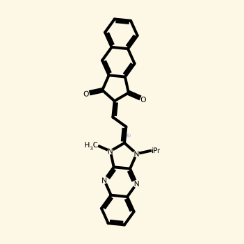 CC(C)N1/C(=C/C=C2C(=O)c3cc4ccccc4cc3C2=O)N(C)c2nc3ccccc3nc21